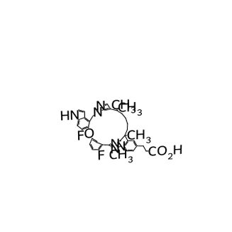 Cn1nc2nc1-c1cc(ccc1F)Oc1c(F)cc3[nH]ccc3c1Cn1cc(cn1)C(C)(C)CCCCC2(C)c1cccc(CCC(=O)O)c1